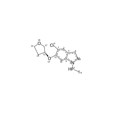 Clc1cc2cnn(PI)c2cc1O[C@H]1CCOC1